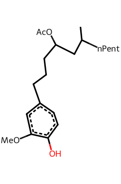 CCCCCC(C)CC(CCCc1ccc(O)c(OC)c1)OC(C)=O